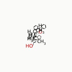 C[C@@H](C=CCO)[C@@]1(C)CC[C@@H](C(O[SiH](c2ccccc2)c2ccccc2)C(C)(C)C)C1(C)C